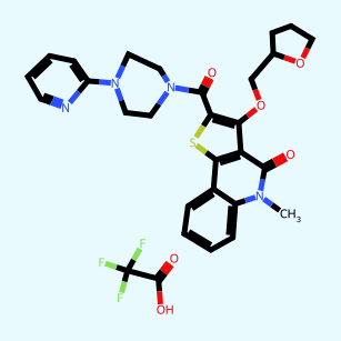 Cn1c(=O)c2c(OCC3CCCO3)c(C(=O)N3CCN(c4ccccn4)CC3)sc2c2ccccc21.O=C(O)C(F)(F)F